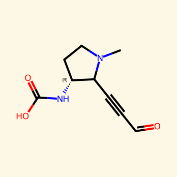 CN1CC[C@@H](NC(=O)O)C1C#CC=O